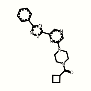 O=C(C1CCC1)N1CCN(c2cncc(-c3nnc(-c4ccccc4)o3)n2)CC1